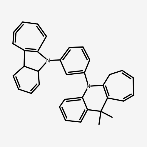 CC1(C)C2=C(CC=CC=C2)N(c2cccc(N3C4=C(C=C=CC=C4)C4C=CC=CC43)c2)c2ccccc21